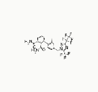 Cc1cc(Cn2nc(C(F)(F)C(F)(F)F)nc2C(F)(F)F)ccc1-c1cccc(C(N)=O)c1C(N)=O